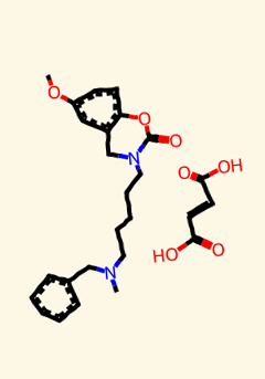 COc1ccc2c(c1)CN(CCCCCN(C)Cc1ccccc1)C(=O)O2.O=C(O)/C=C/C(=O)O